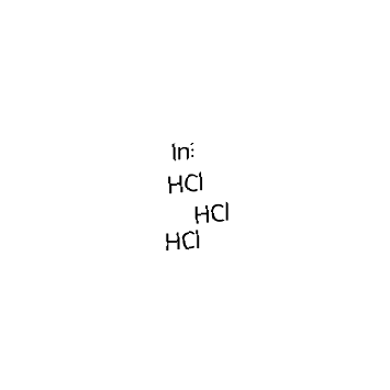 Cl.Cl.Cl.[In]